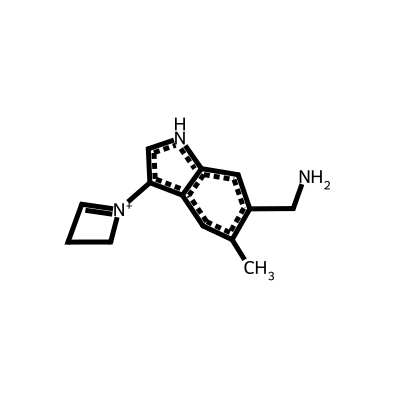 Cc1cc2c([N+]3=CCC3)c[nH]c2cc1CN